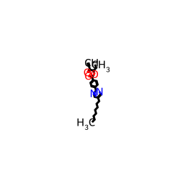 C#CC(=O)C(CC)OC(=O)c1ccc(-c2ncc(CCCCCCCC)cn2)cc1